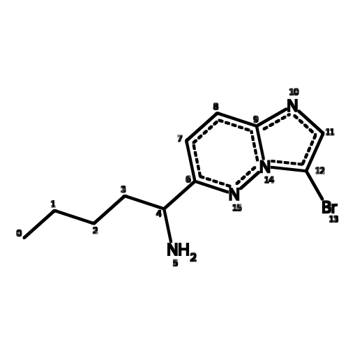 CCCCC(N)c1ccc2ncc(Br)n2n1